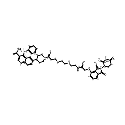 NC(=O)c1cnc2ccc(C3CCN(C(=O)CCOCCOCCNC(=O)COc4cccc5c4C(=O)N(C4CCC(=O)NC4=O)C5=O)CC3)cc2c1Nc1ccccc1